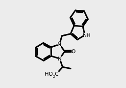 CC(C(=O)O)n1c(=O)n(Cc2c[nH]c3ccccc23)c2ccccc21